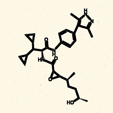 Cc1n[nH]c(C)c1-c1ccc(NC(=O)[C@@H](NC(=O)C2OC2[C@@H](C)CC[C@H](C)O)C(C2CC2)C2CC2)cc1